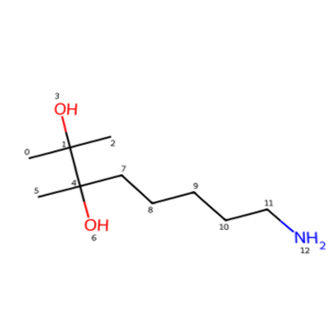 CC(C)(O)C(C)(O)CCCCCN